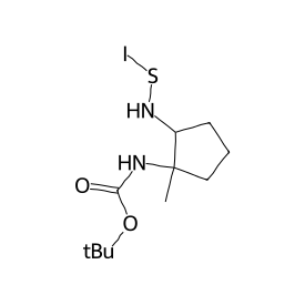 CC(C)(C)OC(=O)NC1(C)CCCC1NSI